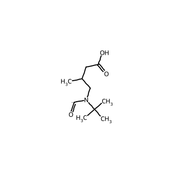 CC(CC(=O)O)CN([C]=O)C(C)(C)C